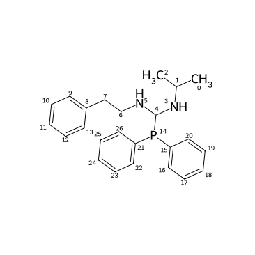 CC(C)NC(NCCc1ccccc1)P(c1ccccc1)c1ccccc1